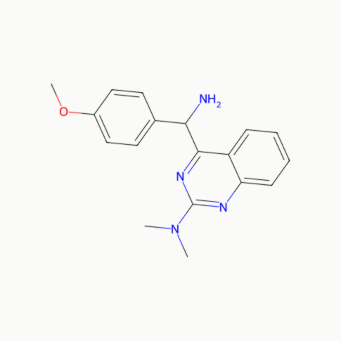 COc1ccc(C(N)c2nc(N(C)C)nc3ccccc23)cc1